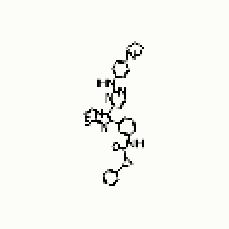 O=C(Nc1cccc(-c2nc3sccn3c2-c2ccnc(Nc3ccc(N4CCCC4)cc3)n2)c1)C1CC1c1ccccc1